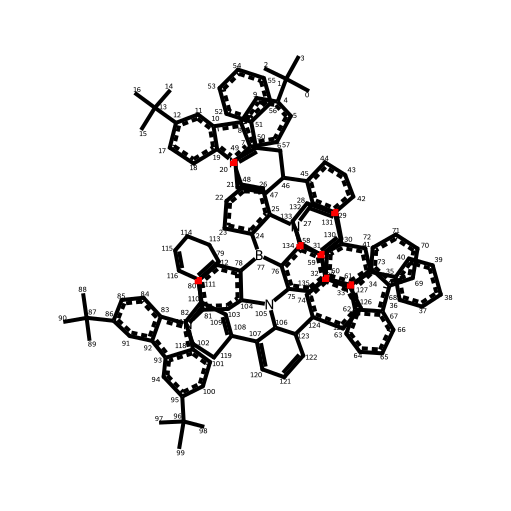 CC(C)(C)c1ccc2c(c1)c1cc(C(C)(C)C)ccc1n2-c1ccc2c(c1)N(c1c(-c3cccc(-c4ccccc4)c3)cccc1C1C=CC=C(c3ccccc3)C1)c1cc(-n3c4ccccc4c4ccccc43)cc3c1B2c1ccc(-n2c4ccc(C(C)(C)C)cc4c4cc(C(C)(C)C)ccc42)cc1N3C1C(C2=CC(C3=CCCC=C3)=CCC2)=CC=CC1c1cccc(C2=CC=CCC2)c1